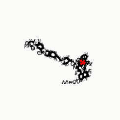 COCOc1cc(-c2ncc3c(N4CC5CCC(C4)N5C(=O)OC(C)(C)C)nc(OCC4CCN(CCC5CCC6(CC5)CCN(C(=O)c5ccc(Cl)c(N7CCC(=O)NC7=O)c5)CC6)CC4)nc3c2F)c2c(C#C[Si](C(C)C)(C(C)C)C(C)C)c(F)ccc2c1